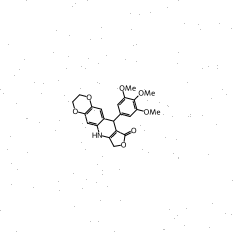 COc1cc(C2C3=C(COC3=O)Nc3cc4c(cc32)OCCO4)cc(OC)c1OC